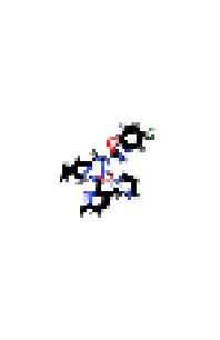 Cc1ccc(-c2ncccn2)c(C(=O)N2CC3(CC3)C[C@H]2CNc2nc3cc(Cl)ccc3o2)n1